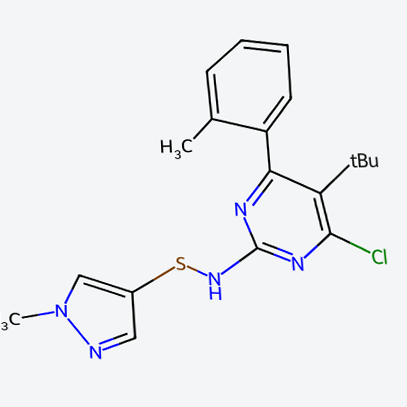 Cc1ccccc1-c1nc(NSc2cnn(C)c2)nc(Cl)c1C(C)(C)C